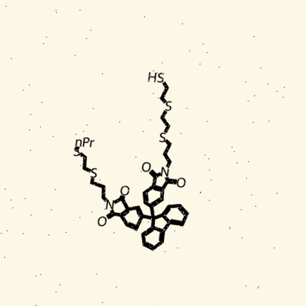 CCCSCCSCCCN1C(=O)c2ccc(C3(c4ccc5c(c4)C(=O)N(CCCSCCSCCS)C5=O)c4ccccc4-c4ccccc43)cc2C1=O